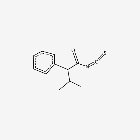 CC(C)C(C(=O)N=C=S)c1ccccc1